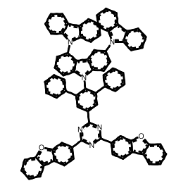 c1ccc(-c2cc(-c3nc(-c4ccc5c(c4)oc4ccccc45)nc(-c4ccc5c(c4)oc4ccccc45)n3)cc(-c3ccccc3)c2-n2c3ccc(-n4c5ccccc5c5ccccc54)cc3c3c(-n4c5ccccc5c5ccccc54)cccc32)cc1